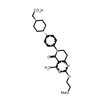 COCCOc1nc(N)c2c(n1)CCN(c1ccc([C@H]3CC[C@H](CC(=O)O)CC3)cc1)C2=O